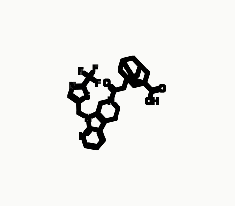 O=C(CC12CC3CC(C1)CC(C(=O)O)(C3)C2)N1CCc2c(n(Cc3cnc(C(F)(F)F)s3)c3ncccc23)C1